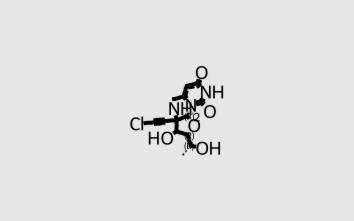 Cc1cc(=O)[nH]c(=O)n1[C@@H]1O[C@H]([C@@H](C)O)C(O)C1(N)C#CCl